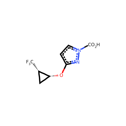 O=C(O)n1ccc(O[C@@H]2C[C@@H]2C(F)(F)F)n1